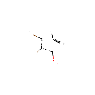 C=CC.OCC(S)CS